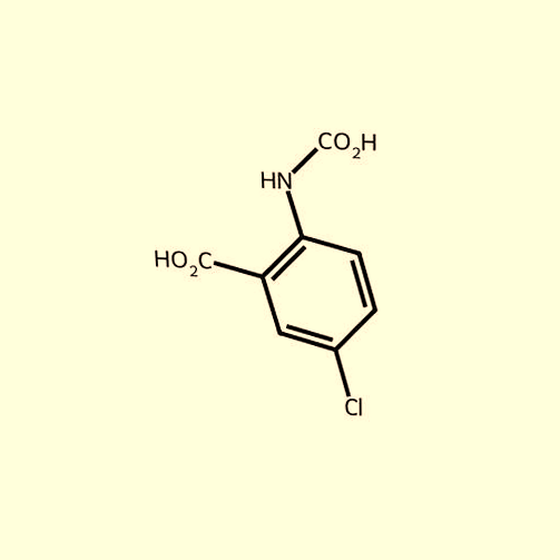 O=C(O)Nc1ccc(Cl)cc1C(=O)O